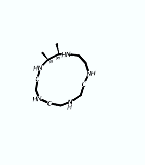 C[C@@H]1NCCNCCNCCNCCN[C@@H]1C